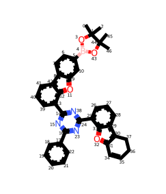 CC1(C)OB(c2ccc3c(c2)oc2c(-c4nc(-c5ccccc5)nc(-c5cccc6c7c(oc56)C=CCC7)n4)cccc23)OC1(C)C